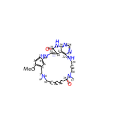 COc1ccc2cc1CN(C)CCCCC(=O)N(C)CCCNc1ncnc3c1/C(=C/N2)C(=O)N3